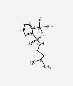 CC(C)CCNS(=O)(=O)c1ccccc1C(F)(F)F